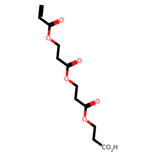 C=CC(=O)OCCC(=O)OCCC(=O)OCCC(=O)O